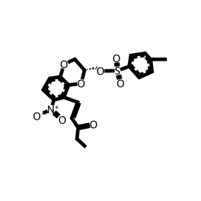 CCC(=O)C=Cc1c([N+](=O)[O-])ccc2c1O[C@@H](COS(=O)(=O)c1ccc(C)cc1)CO2